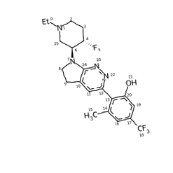 CCN1CC[C@H](F)[C@@H](N2CCc3cc(-c4c(C)cc(C(F)(F)F)cc4O)nnc32)C1